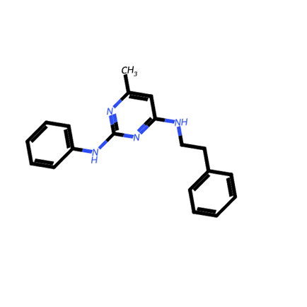 Cc1cc(NCCc2ccccc2)nc(Nc2ccccc2)n1